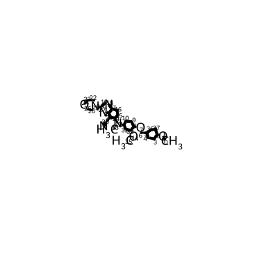 COc1ccc(COc2ccc(N(C)c3ccc4ncc(N5CCOCC5)nc4c3C#N)cc2OC)cc1